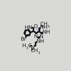 CN/C=C1\C(=N)N=C(NCCN(C)C)N=C1C1C(=O)Nc2ccc(Br)cc21